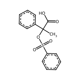 CC(OS(=O)(=O)c1ccccc1)(C(=O)O)c1ccccc1